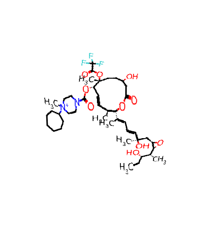 CC[C@H](O)[C@@H](C)[C@H]1O[C@@H]1C[C@@](C)(O)/C=C/C=C(\C)[C@H]1OC(=O)C[C@H](O)CC[C@@](C)(OC(=O)C(F)(F)F)[C@@H](OC(=O)N2CC[N+](C)(C3CCCCCC3)CC2)/C=C/[C@@H]1C